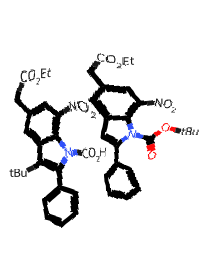 CCOC(=O)Cc1cc([N+](=O)[O-])c2c(c1)c(C(C)(C)C)c(-c1ccccc1)n2C(=O)O.CCOC(=O)Cc1cc([N+](=O)[O-])c2c(c1)cc(-c1ccccc1)n2C(=O)OC(C)(C)C